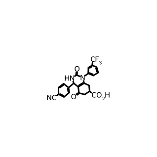 N#Cc1ccc(C2NC(=O)N(c3cccc(C(F)(F)F)c3)C3=C2C(=O)CC(C(=O)O)C3)cc1